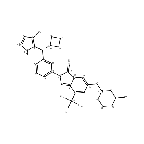 Cc1cn[nH]c1[C@@H](c1cccc(-n2cc3c(C(F)(F)F)cc(CN4CCC[C@H](C)C4)cn3c2=O)c1)C1CCC1